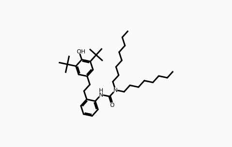 CCCCCCCCN(CCCCCCCC)C(=O)Nc1ccccc1CCc1cc(C(C)(C)C)c(O)c(C(C)(C)C)c1